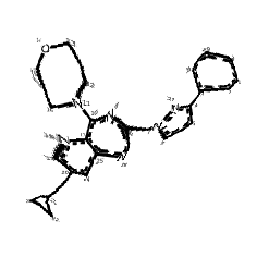 c1ccc(-c2ccn(-c3nc(N4CCOCC4)c4ncc(C5CC5)cc4n3)n2)cc1